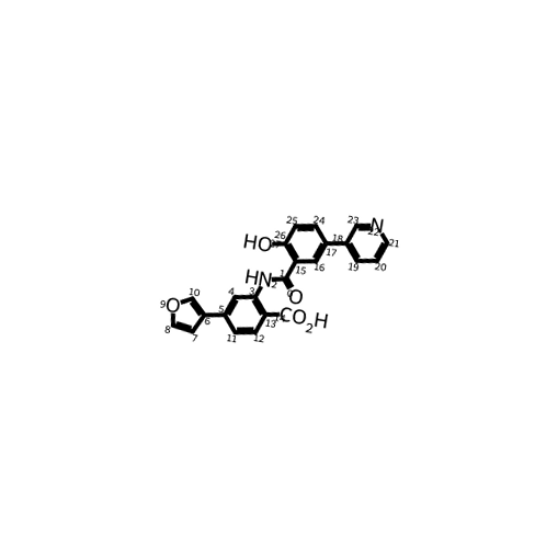 O=C(Nc1cc(-c2ccoc2)ccc1C(=O)O)c1cc(-c2cccnc2)ccc1O